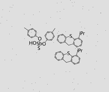 CC(C)c1cccc2c1Sc1ccccc1C2.CC(C)c1cccc2c1Sc1ccccc1C2.Cc1ccc([O][Sb]([OH])(=[S])[O]c2ccc(C)cc2)cc1